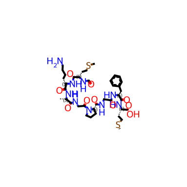 CSCC[C@H](NC(=O)[C@H](Cc1ccccc1)NC(=O)CNC(=O)[C@@H]1CCCN1C(=O)CNC(=O)[C@H](C)NC(=O)[C@H](CCCCN)NC(=O)[C@H](CCSC)NC=O)C(=O)O